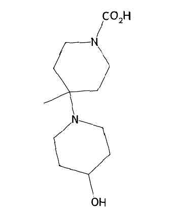 CC1(N2CCC(O)CC2)CCN(C(=O)O)CC1